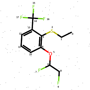 CCSc1c(OC(F)CF)cccc1C(F)(F)F